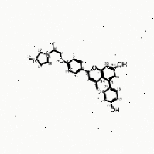 CC1=CC(c2ccc(OC[C@H](C)N3CC[C@@H](C)C3)cc2)Oc2cc(O)cc(-c3ccc(O)cc3)c21